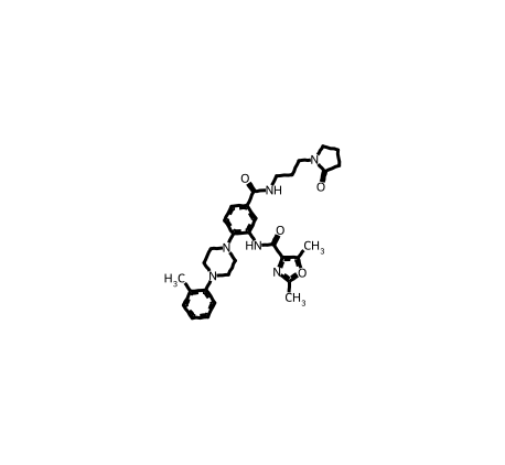 Cc1nc(C(=O)Nc2cc(C(=O)NCCCN3CCCC3=O)ccc2N2CCN(c3ccccc3C)CC2)c(C)o1